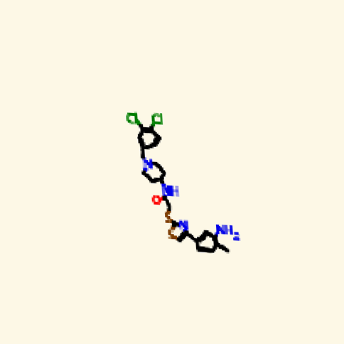 Cc1ccc(-c2csc(SCC(=O)NC3CCN(Cc4ccc(Cl)c(Cl)c4)CC3)n2)cc1N